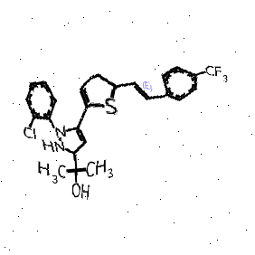 CC(C)(O)C1C=C(C2=CCC(/C=C/c3ccc(C(F)(F)F)cc3)S2)N(c2ccccc2Cl)N1